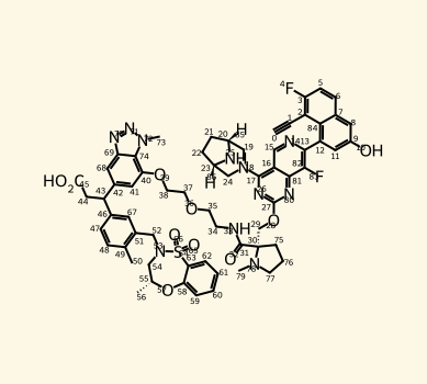 C#Cc1c(F)ccc2cc(O)cc(-c3ncc4c(N5C[C@H]6CC[C@@H](C5)N6)nc(OC[C@]5(C(=O)NCCOCCOc6cc(C(CC(=O)O)c7ccc(C)c(CN8C[C@@H](C)Oc9ccccc9S8(=O)=O)c7)cc7nnn(C)c67)CCCN5C)nc4c3F)c12